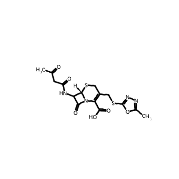 CC(=O)CC(=O)NC1C(=O)N2C(C(=O)O)=C(CSc3nnc(C)o3)CS[C@@H]12